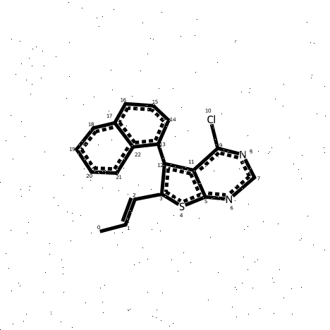 C/C=C/c1sc2ncnc(Cl)c2c1-c1cccc2ccccc12